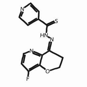 Fc1ccnc2c1OCC/C2=N/NC(=S)c1ccncc1